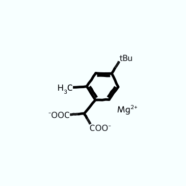 Cc1cc(C(C)(C)C)ccc1C(C(=O)[O-])C(=O)[O-].[Mg+2]